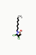 CCCCCCCCN1C(Cl)C(Cl)=C[S+]1[O-]